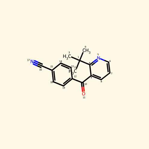 CC(C)(C)c1ncccc1C(=O)c1ccc(C#N)cc1